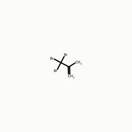 C=C(C)C(Br)(Br)Br